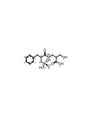 O=C(O)C(CO)CNC(=O)C(Cc1ccccc1)CP(=O)(O)O